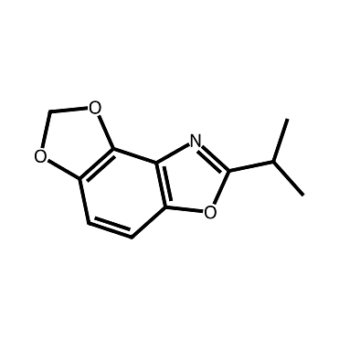 CC(C)c1nc2c3c(ccc2o1)OCO3